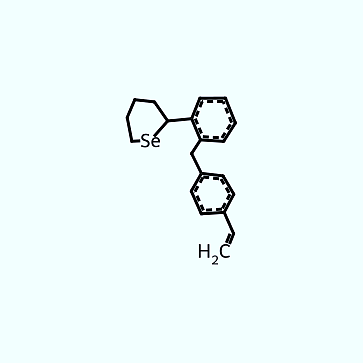 C=Cc1ccc(Cc2ccccc2C2CCCC[Se]2)cc1